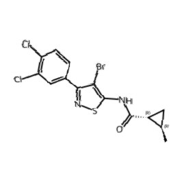 C[C@@H]1C[C@H]1C(=O)Nc1snc(-c2ccc(Cl)c(Cl)c2)c1Br